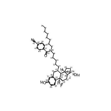 CCCCCCCCN(CCCCC[C@@H]1Cc2cc(O)ccc2[C@@H]2[C@@H]1[C@@H]1CC[C@H](O)[C@@]1(C)C[C@@H]2F)C(=O)c1ccc(C#N)cc1